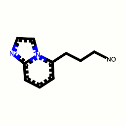 O=NCCCc1cccc2nccn12